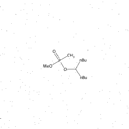 CCCCC(CCCC)OP(C)(=O)OC